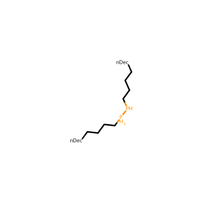 CCCCCCCCCCCCCCP[PH3]CCCCCCCCCCCCCC